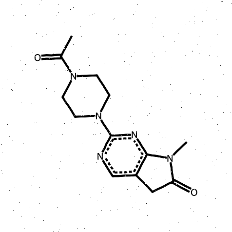 CC(=O)N1CCN(c2ncc3c(n2)N(C)C(=O)C3)CC1